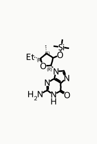 CC[C@H]1O[C@@H](n2cnc3c(=O)[nH]c(N)nc32)C(O[Si](C)(C)C)[C@H]1C